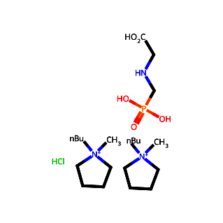 CCCC[N+]1(C)CCCC1.CCCC[N+]1(C)CCCC1.Cl.O=C(O)CNCP(=O)(O)O